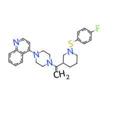 C=C(C1CCCN(Sc2ccc(F)cc2)C1)N1CCN(c2ccnc3ccccc23)CC1